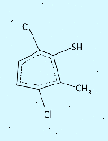 Cc1c(Cl)ccc(Cl)c1S